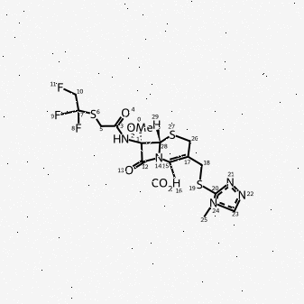 CO[C@@]1(NC(=O)CSC(F)(F)CF)C(=O)N2C(C(=O)O)=C(CSc3nncn3C)CS[C@H]21